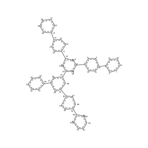 c1ccc(-c2ccc(-c3nc(-c4ccc(-c5ccccc5)cc4)nc(-c4cc(-c5ccccc5)cc(-c5ccc(-c6ncccn6)cc5)c4)n3)cc2)cc1